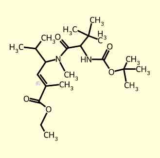 CCOC(=O)/C(C)=C/C(C(C)C)N(C)C(=O)C(NC(=O)OC(C)(C)C)C(C)(C)C